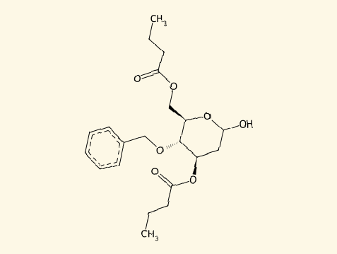 CCCC(=O)OC[C@H]1OC(O)C[C@@H](OC(=O)CCC)[C@@H]1OCc1ccccc1